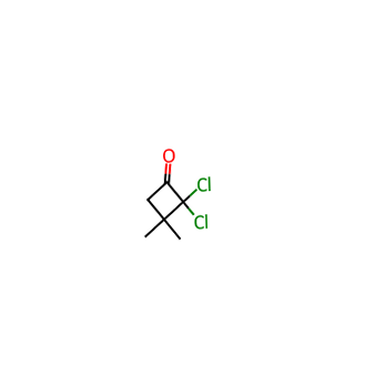 CC1(C)CC(=O)C1(Cl)Cl